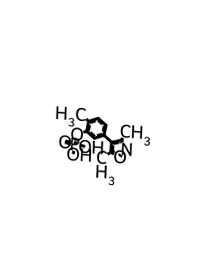 Cc1ccc(-c2c(C)noc2C)cc1OP(=O)(O)O